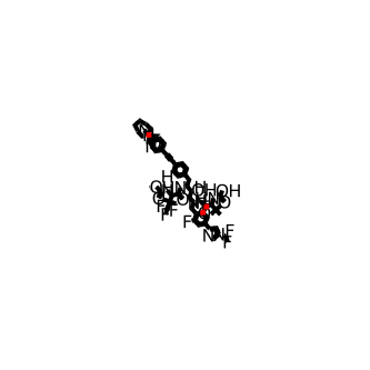 COC(=O)NC(C(=O)NC(Cc1ccc(C#Cc2ccc(N3CC4CCC(C3)N4C3COC3)nc2)cc1)C(O)CN(Cc1c(F)cc(-c2cn(C(F)F)cn2)cc1F)NC(=O)C(NC(=O)O)C(C)(C)C)C(C)(C)C(F)(F)F